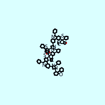 c1ccc(-c2nc(-c3ccc4nc(-c5ccccc5)c5cc6c(cc5c4c3)C3(c4ccccc4S6)c4ccccc4-c4cc(-c5ccccc5-c5nc(-c6ccc7nc(-c8ccccc8)c8cc9c(cc8c7c6)C6(c7ccccc7S9)c7ccccc7-c7ccccc76)cc(-c6cccc7c6sc6ccccc67)n5)ccc43)cc(-c3cccc4oc5ccccc5c34)n2)cc1